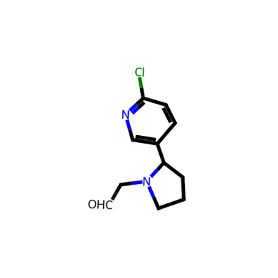 O=CCN1CCCC1c1ccc(Cl)nc1